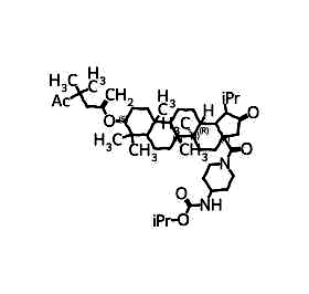 C=C(CC(C)(C)C(C)=O)O[C@H]1CCC2(C)C(CC[C@]3(C)C2CC[C@@H]2C4C(C(C)C)C(=O)C[C@]4(C(=O)N4CCC(NC(=O)OC(C)C)CC4)CC[C@]23C)C1(C)C